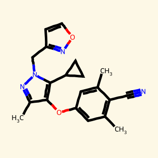 Cc1cc(Oc2c(C)nn(Cc3ccon3)c2C2CC2)cc(C)c1C#N